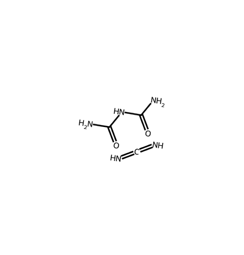 N=C=N.NC(=O)NC(N)=O